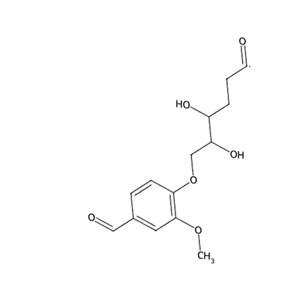 COc1cc(C=O)ccc1OCC(O)C(O)CC[C]=O